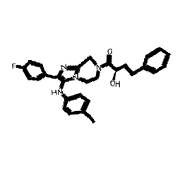 Cc1ccc(Nc2c(-c3ccc(F)cc3)nc3n2CCN(C(=O)[C@H](O)CCc2ccccc2)C3)cc1